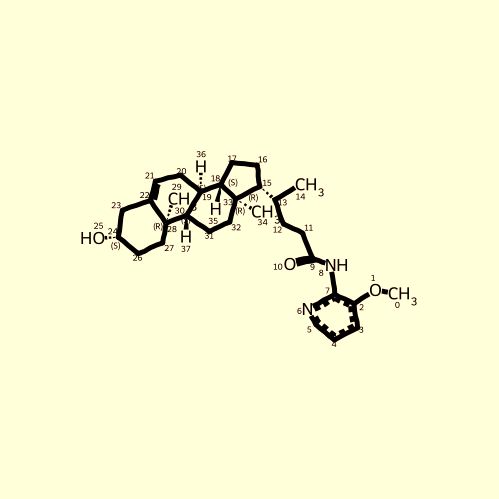 COc1cccnc1NC(=O)CCC(C)[C@H]1CC[C@H]2[C@@H]3CC=C4C[C@@H](O)CC[C@]4(C)[C@H]3CC[C@]12C